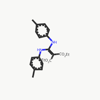 CCOC(=O)C(C(=O)OCC)=C(Nc1ccc(C)cc1)Nc1ccc(C)cc1